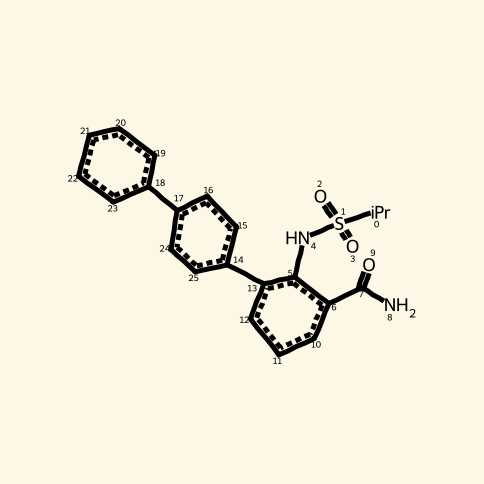 CC(C)S(=O)(=O)Nc1c(C(N)=O)cccc1-c1ccc(-c2[c]cccc2)cc1